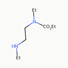 CCNCCN(CC)C(=O)OCC